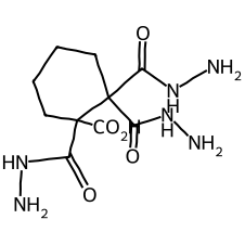 NNC(=O)C1(C(=O)O)CCCCC1(C(=O)NN)C(=O)NN